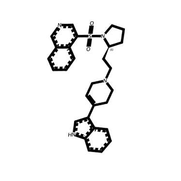 O=S(=O)(c1cncc2ccccc12)N1CCC[C@H]1CCN1CC=C(c2c[nH]c3ccccc23)CC1